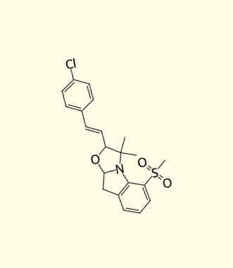 CC1(C)C(C=Cc2ccc(Cl)cc2)OC2Cc3cccc(S(C)(=O)=O)c3N21